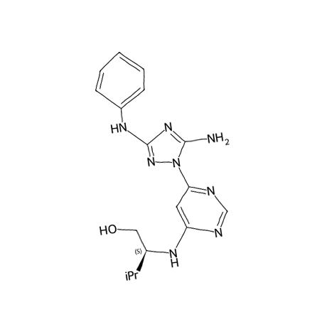 CC(C)[C@@H](CO)Nc1cc(-n2nc(Nc3ccccc3)nc2N)ncn1